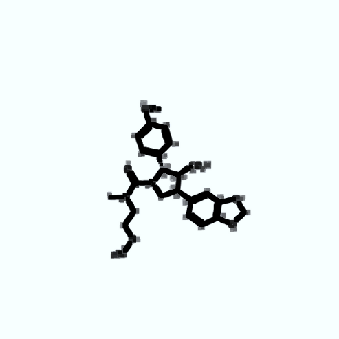 CCCCOCCN(C)C(=O)N1C[C@H](c2ccc3c(c2)OCO3)[C@H](C(=O)O)[C@H]1c1ccc(OC)cc1